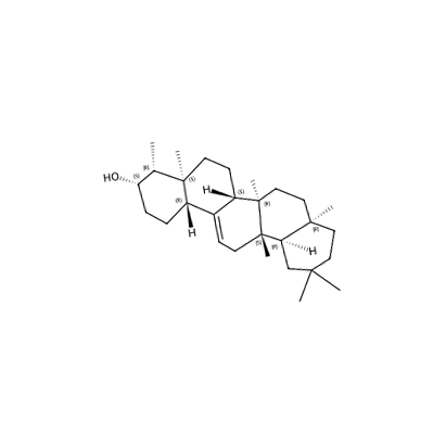 C[C@H]1[C@@H](O)CC[C@H]2C3=CC[C@@]4(C)[C@@H]5CC(C)(C)CC[C@]5(C)CC[C@]4(C)[C@H]3CC[C@@]21C